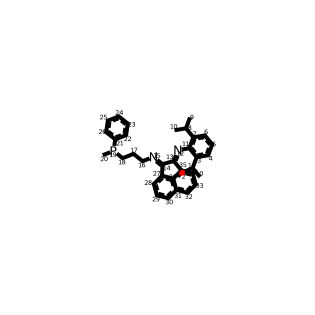 CC(C)c1cccc(C(C)C)c1/N=C1/C(=N/CCCP(C)c2ccccc2)c2cccc3cccc1c23